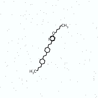 CCCCCOc1ccc(CCC2CCC(CCC3CCC(CCCC)CC3)CC2)nc1